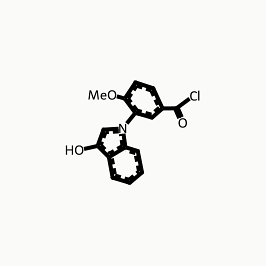 COc1ccc(C(=O)Cl)cc1-n1cc(O)c2ccccc21